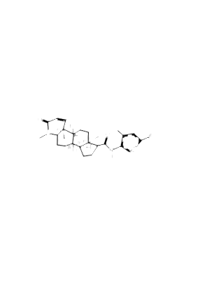 Cc1cc(F)ccc1NC(=O)C1CC[C@H]2[C@@H]3CCC4N(C)C(=O)C=C[C@]4(C)[C@@H]3CC[C@]12C